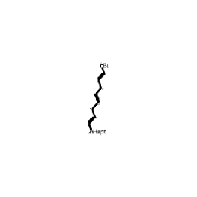 [CH2]CCCC=CCC=CCC=CCCCCCCC